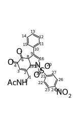 CC(=O)NCC1=CC(=O)C(=O)C2C(c3ccccc3)=CN(S(=O)(=O)c3ccc([N+](=O)[O-])cc3)C12